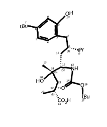 CC(C)[C@@H](Cc1ccc(C(C)(C)C)cc1O)C[C@H](NC(=O)OC(C)(C)C)[C@@](C)(O)C[C@@H](C)C(=O)O